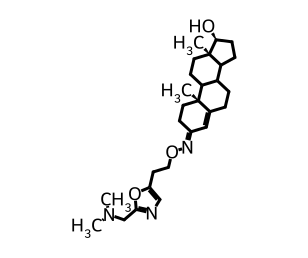 CN(C)Cc1ncc(CCON=C2C=C3CCC4C(CC[C@@]5(C)C4CC[C@@H]5O)[C@@]3(C)CC2)o1